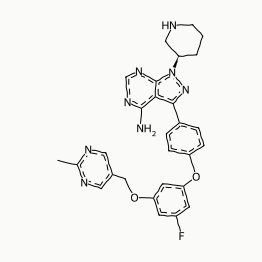 Cc1ncc(COc2cc(F)cc(Oc3ccc(-c4nn([C@@H]5CCCNC5)c5ncnc(N)c45)cc3)c2)cn1